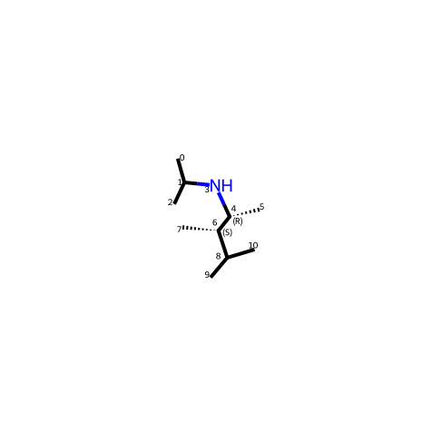 CC(C)N[C@H](C)[C@@H](C)C(C)C